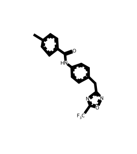 Cc1ccc(C(=O)Nc2ccc(Cc3noc(C(F)(F)F)n3)cc2)cc1